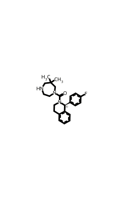 CC1(C)CNCCN(C(=O)N2CCc3ccccc3[C@@H]2c2ccc(F)cc2)C1